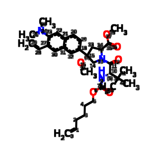 C=CCCCCOC(=O)N[C@H](C(=O)N1C[C@@](OC)(c2ccc3cc(N(C)C)c(C=C)cc3c2)C[C@H]1C(=O)OC)C(C)(C)C